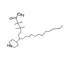 CCCCCCCCCCCCC(CCC(C)(C)C(C)(C)C(=O)O)C1CCNCC1